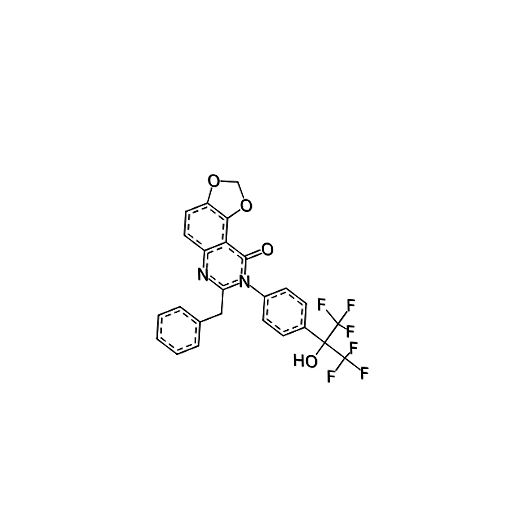 O=c1c2c3c(ccc2nc(Cc2ccccc2)n1-c1ccc(C(O)(C(F)(F)F)C(F)(F)F)cc1)OCO3